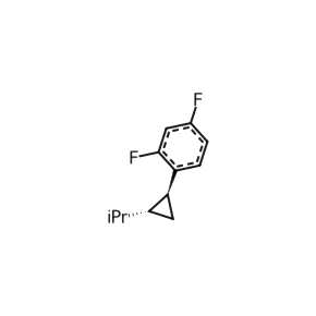 CC(C)[C@H]1C[C@@H]1c1ccc(F)cc1F